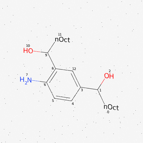 CCCCCCCCC(O)c1ccc(N)c(C(O)CCCCCCCC)c1